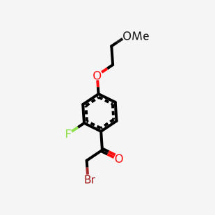 COCCOc1ccc(C(=O)CBr)c(F)c1